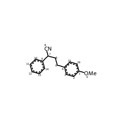 COc1ccc(CCC(C#N)c2ccccc2)cc1